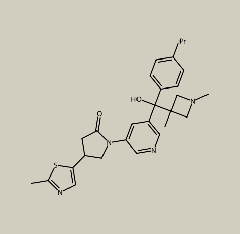 Cc1ncc(C2CC(=O)N(c3cncc(C(O)(c4ccc(C(C)C)cc4)C4(C)CN(C)C4)c3)C2)s1